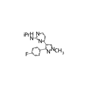 CC(C)Nc1nccc(-c2cn(C)nc2-c2ccc(F)cc2)n1